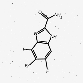 NC(=O)c1nc2c(F)c(Br)c(F)cc2[nH]1